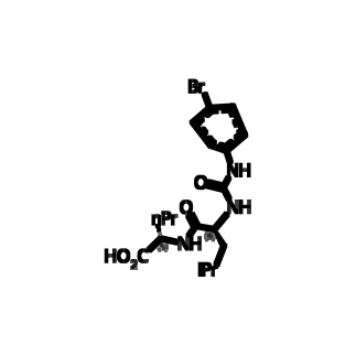 CCC[C@H](NC(=O)[C@H](CC(C)C)NC(=O)Nc1ccc(Br)cc1)C(=O)O